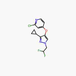 FC(F)Cn1cc(Oc2ccnc(Cl)c2)c(C2CC2)n1